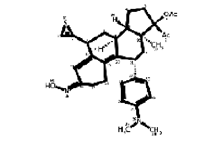 CC(=O)O[C@]1(C(C)=O)CC[C@H]2[C@@H]3CC(C4=CS4)C4=C/C(=N\O)CCC4=C3[C@@H](c3ccc(N(C)C)cc3)C[C@@]21C